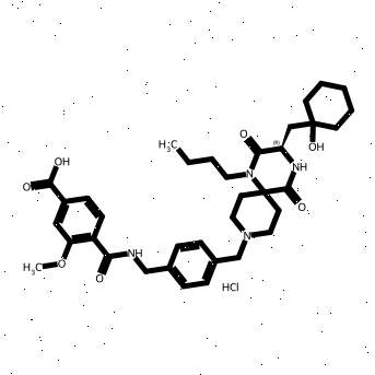 CCCCN1C(=O)[C@@H](CC2(O)CCCCC2)NC(=O)C12CCN(Cc1ccc(CNC(=O)c3ccc(C(=O)O)cc3OC)cc1)CC2.Cl